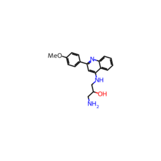 COc1ccc(-c2cc(NCC(O)CN)c3ccccc3n2)cc1